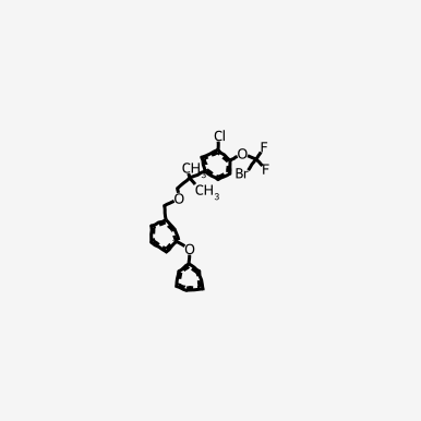 CC(C)(COCc1cccc(Oc2ccccc2)c1)c1ccc(OC(F)(F)Br)c(Cl)c1